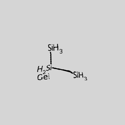 [Ge].[SiH3][SiH2][SiH3]